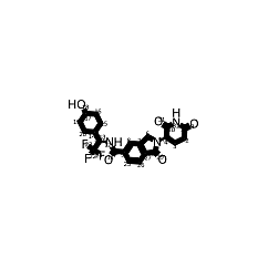 O=C1CC[C@@H](N2Cc3cc(C(=O)N[C@H](C4CCC(O)CC4)C(F)(F)F)ccc3C2=O)C(=O)N1